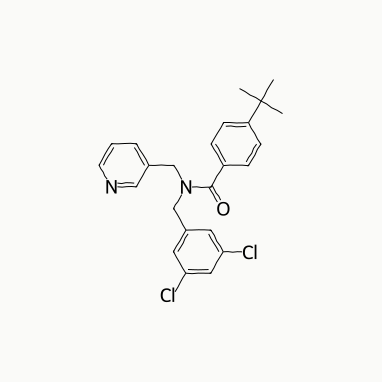 CC(C)(C)c1ccc(C(=O)N(Cc2cccnc2)Cc2cc(Cl)cc(Cl)c2)cc1